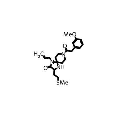 C=CCN1C(=O)C(CCSC)NC12CCN(C(=O)Cc1cccc(OC)c1)CC2